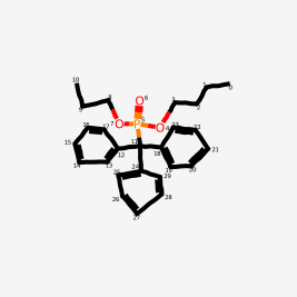 CCCCOP(=O)(OCCC)C(c1ccccc1)(c1ccccc1)c1ccccc1